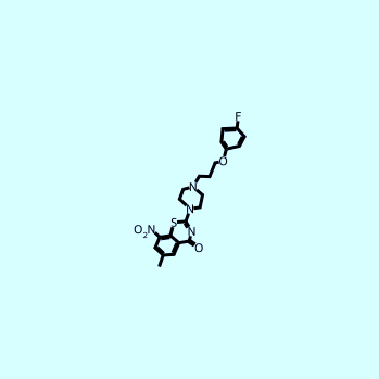 Cc1cc([N+](=O)[O-])c2sc(N3CCN(CCCOc4ccc(F)cc4)CC3)nc(=O)c2c1